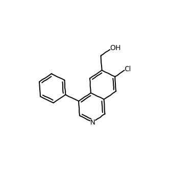 OCc1cc2c(-c3ccccc3)cncc2cc1Cl